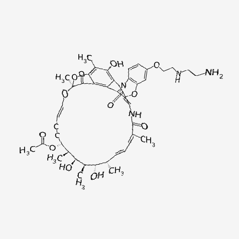 CC(=O)O[C@@H]1CC/C=C/O[C@@]2(C)Oc3c(C)c(O)c4c(=O)c(c5oc6cc(OCCNCCN)ccc6nc-5c4c3C2=O)NC(=O)/C(C)=C\C=C\[C@H](C)[C@H](O)[C@@H](C)[C@@H](O)[C@H]1C